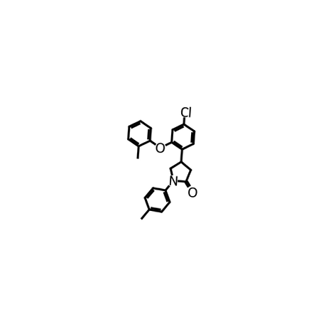 Cc1ccc(N2CC(c3ccc(Cl)cc3Oc3ccccc3C)CC2=O)cc1